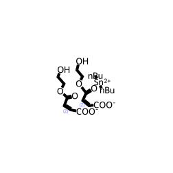 CCC[CH2][Sn+2][CH2]CCC.O=C([O-])/C=C\C(=O)OCCO.O=C([O-])/C=C\C(=O)OCCO